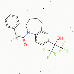 C[C@@H](C(=O)N1CCCCc2cc(C(O)(C(F)(F)F)C(F)(F)F)ccc21)c1ccccc1